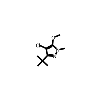 COc1c(Cl)c(C(C)(C)C)nn1C